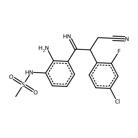 CS(=O)(=O)Nc1cccc(C(=N)C(CC#N)c2ccc(Cl)cc2F)c1N